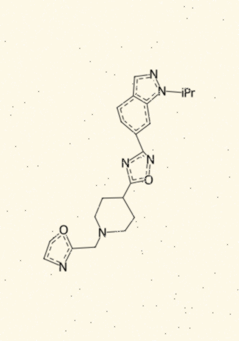 CC(C)n1ncc2ccc(-c3noc(C4CCN(Cc5ncco5)CC4)n3)cc21